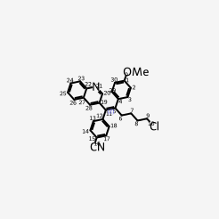 COc1ccc(/C(CCCCCl)=C(/c2ccc(C#N)cc2)c2cnc3ccccc3c2)cc1